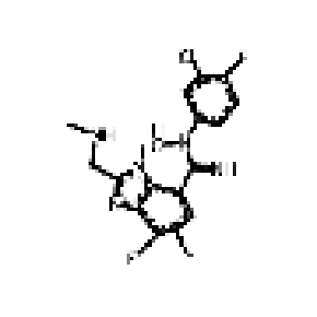 CNCc1nc2c(F)c(F)cc(C(=N)N(O)c3ccc(F)c(Cl)c3)c2[nH]1